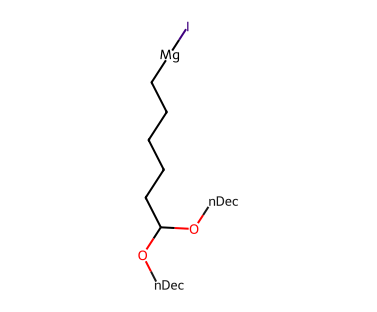 CCCCCCCCCCOC(CCCC[CH2][Mg][I])OCCCCCCCCCC